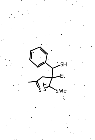 CCC(CC(C)=S)(C(S)SC)C(S)c1ccccc1